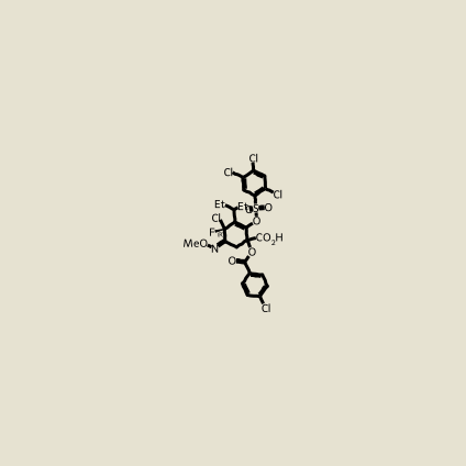 CCC(CC)C1=C(OS(=O)(=O)c2cc(Cl)c(Cl)cc2Cl)C(OC(=O)c2ccc(Cl)cc2)(C(=O)O)CC(=NOC)[C@]1(F)Cl